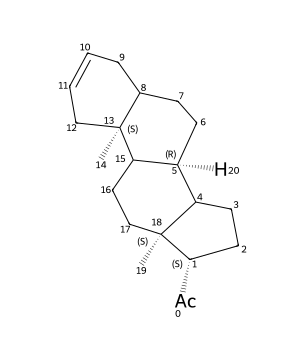 CC(=O)[C@H]1CCC2[C@@H]3CCC4CC=CC[C@]4(C)C3CC[C@@]21C